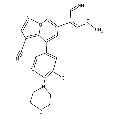 CN/C=C(\C=N)c1cc(-c2cnc(N3CCNCC3)c(C)c2)c2c(C#N)cnn2c1